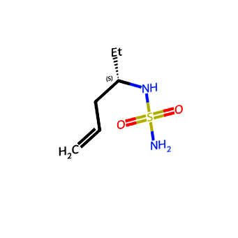 C=CC[C@H](CC)NS(N)(=O)=O